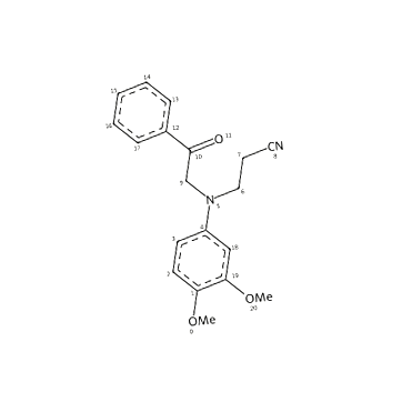 COc1ccc(N(CCC#N)CC(=O)c2ccccc2)cc1OC